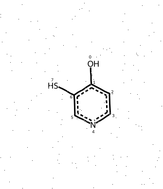 Oc1ccncc1S